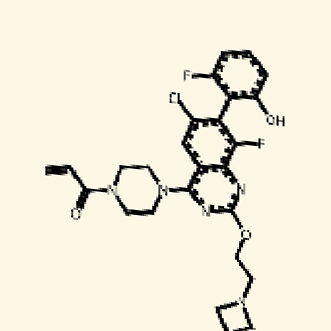 C=CC(=O)N1CCN(c2nc(OCCN3CCC3)nc3c(F)c(-c4c(O)cccc4F)c(Cl)cc23)CC1